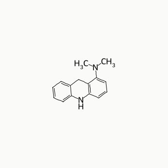 CN(C)c1cccc2c1Cc1ccccc1N2